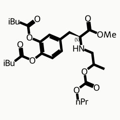 CCCOC(=O)OC(C)CN[C@@H](Cc1ccc(OC(=O)C(C)CC)c(OC(=O)C(C)CC)c1)C(=O)OC